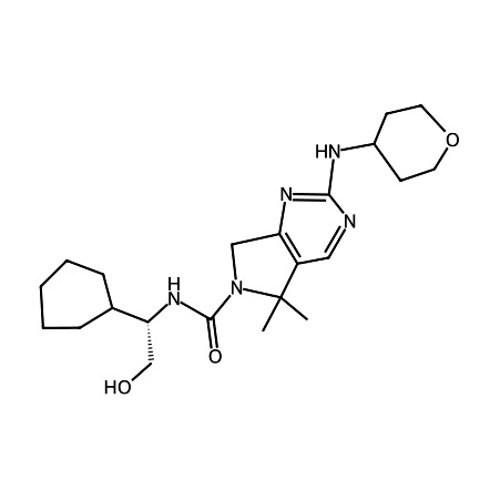 CC1(C)c2cnc(NC3CCOCC3)nc2CN1C(=O)N[C@H](CO)C1CCCCC1